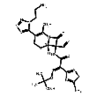 CC(C)(ON=C(C(=O)NC1(C=S)C(=O)N2C(C(=O)O)=C(c3nnnn3CCN)CS[C@H]21)c1nsc(N)n1)C(=O)O